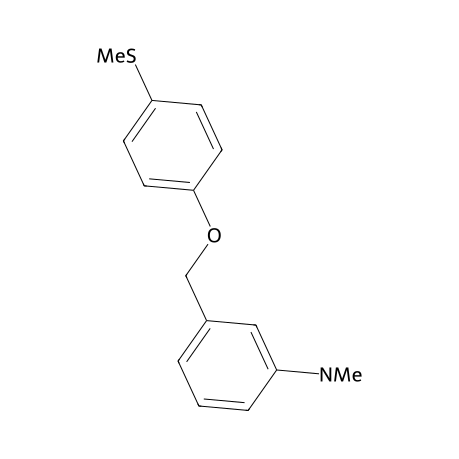 CNc1cccc(COc2ccc(SC)cc2)c1